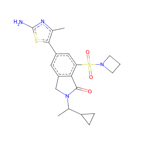 Cc1nc(N)sc1-c1cc2c(c(S(=O)(=O)N3CCC3)c1)C(=O)N(C(C)C1CC1)C2